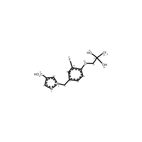 O=C(O)c1cnn(Cc2ccc(OCC(O)(O)C(F)(F)F)c(F)c2)c1